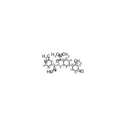 Cc1cc(/C(CCc2cc(-c3ccc(Cl)cc3C)ccc2C(=O)N(C)C)=N\O)ccn1